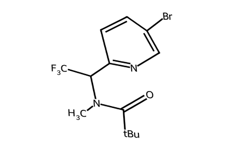 CN(C(=O)C(C)(C)C)C(c1ccc(Br)cn1)C(F)(F)F